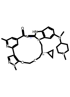 Cc1cc2cc(n1)-c1cnn(C)c1OCCC[C@@H](C1CC1)CN1/C(=N/C2=O)Nc2ccc(N(C)C3CCN(C)CC3)cc21